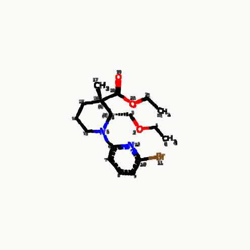 CCOC[C@@H]1N(c2cccc(Br)n2)CCC[C@]1(C)C(=O)OCC